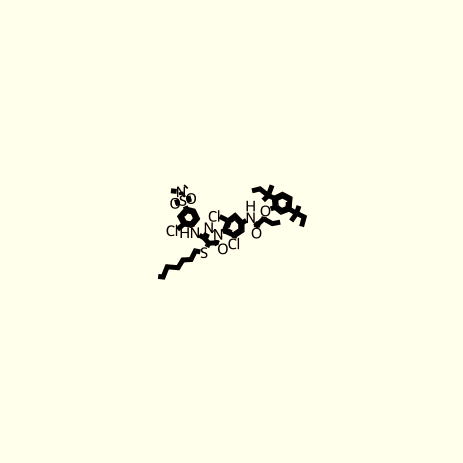 CCCCCCCSC1C(=O)N(c2c(Cl)cc(NC(=O)C(CC)Oc3cc(C(C)(C)CC)ccc3C(C)(C)CC)cc2Cl)N=C1Nc1ccc(S(=O)(=O)N(C)C)cc1Cl